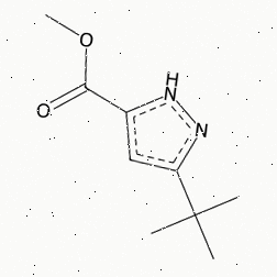 COC(=O)c1cc(C(C)(C)C)n[nH]1